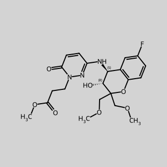 COCC1(COC)Oc2ccc(F)cc2[C@H](Nc2ccc(=O)n(CCC(=O)OC)n2)[C@H]1O